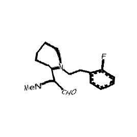 CN[C](C=O)C1CCCCN1CCc1ccccc1F